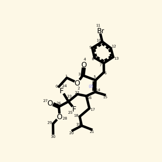 CCOC(=O)/C(Cc1ccc(Br)cc1)=C(/C)C(CCC(C)C)CC(F)(F)C(=O)OCC